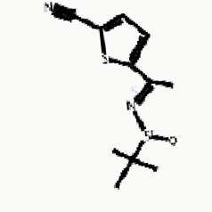 C/C(=N\[S+]([O-])C(C)(C)C)c1ccc(C#N)s1